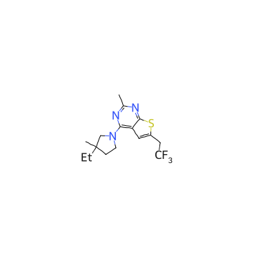 CCC1(C)CCN(c2nc(C)nc3sc(CC(F)(F)F)cc23)C1